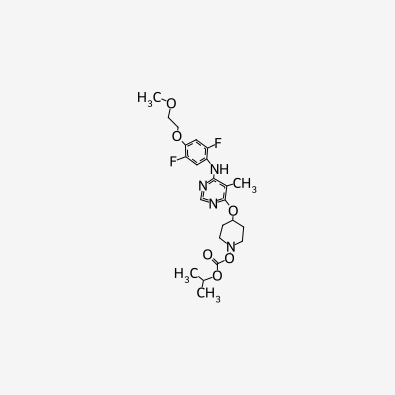 COCCOc1cc(F)c(Nc2ncnc(OC3CCN(OC(=O)OC(C)C)CC3)c2C)cc1F